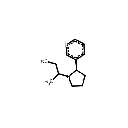 CC(CC#N)N1CCC[C@@H]1c1cccnc1